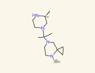 C[C@H]1CN(C(C)(C)N2CCN(C(C)(C)C)C3(CC3)C2)CCN1